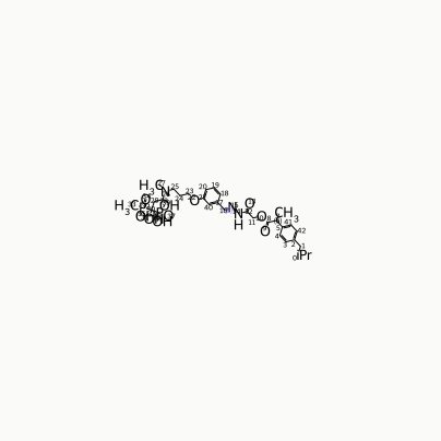 CC(C)Cc1ccc([C@H](C)C(=O)OCC(=O)N/N=C/c2cccc(OCCCN(C)CCC(O)(P(C)(=O)O)P(=O)(O)O)c2)cc1